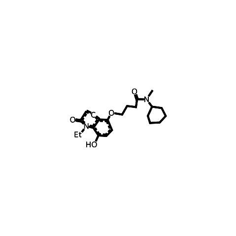 CCn1c(=O)ccc2c(OCCCC(=O)N(C)C3CCCCC3)ccc(O)c21